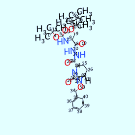 CC(C)(C)OC(=O)NC(CO[Si](C)(C)C(C)(C)C)C(=O)NNC(=O)[C@@H]1CC[C@H]2CN1C(=O)N2OCc1ccccc1